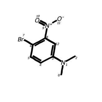 CN(C)c1ccc(Br)c([N+](=O)[O-])c1